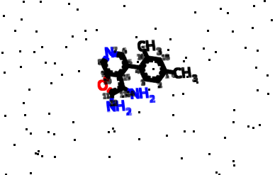 Cc1ccc(-c2cncc3oc(N)c(N)c23)c(C)c1